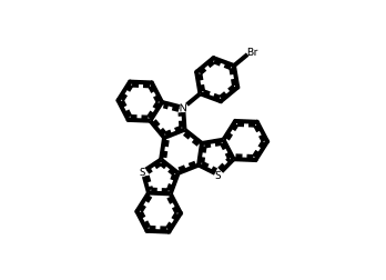 Brc1ccc(-n2c3ccccc3c3c4sc5ccccc5c4c4sc5ccccc5c4c32)cc1